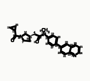 CN(C(=O)C[C@@H]1CCN(C(=O)C2CC2)C1)c1ccc(-c2ccc3ncccc3c2)cc1